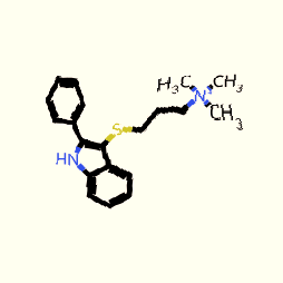 C[N+](C)(C)CCCSc1c(-c2ccccc2)[nH]c2ccccc12